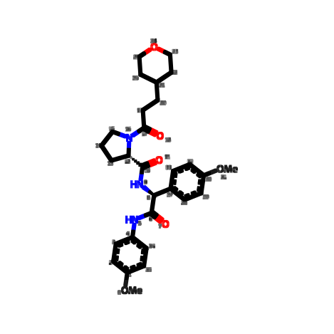 COc1ccc(NC(=O)[C@@H](NC(=O)[C@@H]2CCCN2C(=O)CCC2CCOCC2)c2ccc(OC)cc2)cc1